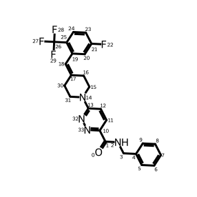 O=C(NCc1ccccc1)c1ccc(N2CCC(=Cc3cc(F)ccc3C(F)(F)F)CC2)nn1